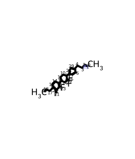 C/C=C/CCc1ccc(C2CCC(c3ccc(CCC)c(F)c3F)CC2(F)F)cc1